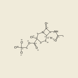 CC(=O)NC1C(=O)N2CC(Cl)(C(=O)OCC(Cl)(Cl)Cl)CS[C@H]12